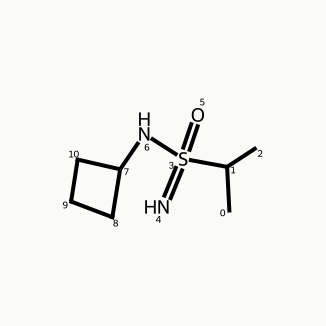 CC(C)S(=N)(=O)NC1CCC1